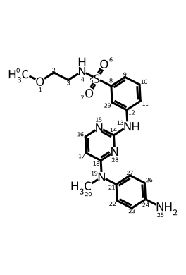 COCCNS(=O)(=O)c1cccc(Nc2nccc(N(C)c3ccc(N)cc3)n2)c1